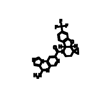 Nc1nc2cnc(C(=O)N3CCC4(CC4)[C@@H]4Oc5cc(C(F)(F)F)ccc5[C@@H]43)cc2n2cncc12